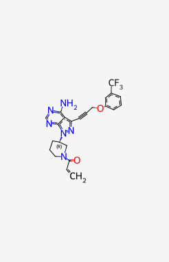 C=CC(=O)N1CCC[C@@H](n2nc(C#CCOc3cccc(C(F)(F)F)c3)c3c(N)ncnc32)C1